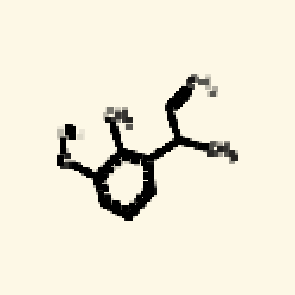 C=C[C](C)c1cccc(OC(C)(C)C)c1C